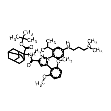 COc1cccc(OC)c1-c1cc(C(=O)NC2(C(=O)OC(C)(C)C)C3CC4CC(C3)CC2C4)nn1-c1ccc(NCCCN(C)C)cc1C(C)C